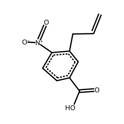 C=CCc1cc(C(=O)O)ccc1[N+](=O)[O-]